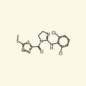 CSc1nnc(C(=O)N2CCN=C2Nc2c(Cl)cccc2Cl)s1